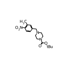 Cc1cc(CN2CCN(C(=O)OC(C)(C)C)CC2)ccc1[N+](=O)[O-]